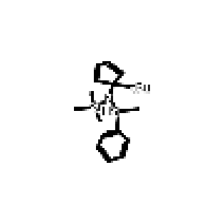 C[SiH](c1ccccc1)N(C1(C(C)(C)C)C=CC=C1)[Si](C)(C)C